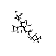 Cn1nc([C@H]2CC2(F)F)c(C2CCC2)c1NC(=O)OC1CC(F)(F)C1